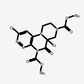 CCC12CN(C(=O)OC(C)(C)C)CCN1c1cc(Cl)nnc1N(C(=O)OC(C)(C)C)C2=O